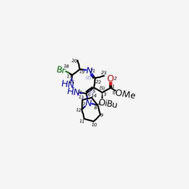 COC(=O)[C@@H](OCC(C)C)C1=C(\N2C3CCCC2CC3)NNC(Br)C(C)/N=C\1C